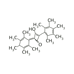 CC1=C(C)C(C)C(C)=C(C)C1=C1C(=O)C(c2c(C)c(C)c(C)c(C)c2C)=C1O